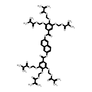 C=C(C)C(=O)OCOc1cc(C(=O)Oc2ccc3cc(OC(=O)c4cc(OCOC(=O)C(=C)C)c(OCOC(=O)C(=C)C)c(OCOC(=O)C(=C)C)c4)ccc3c2)cc(OCOC(=O)C(=C)C)c1OCOC(=O)C(=C)C